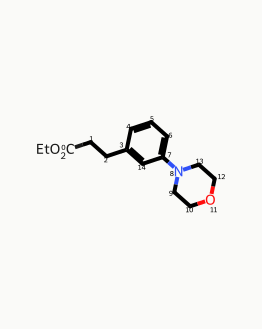 CCOC(=O)CCc1cccc(N2CCOCC2)c1